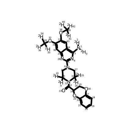 [2H]N([2H])c1nc(N2CC([2H])([2H])N(C(=O)C3COc4ccccc4O3)C([2H])([2H])C2)nc2cc(OC([2H])([2H])[2H])c(OC([2H])([2H])[2H])cc12